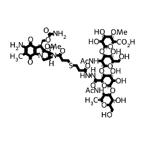 CO[C@@H]1C(C(=O)O)O[C@@H](O[C@@H]2C(NC(C)=O)[C@H](O[C@@H]3C(C(=O)NNC(=O)CCSCCC(=O)N4[C@H]5[C@@H]4CN4C6=C(C(=O)C(N)=C(C)C6=O)[C@@H](COC(N)=O)[C@@]54OC)O[C@@H](O[C@@H]4C(NC(C)=O)[C@H](C)OC(CO)[C@H]4O)C(O)[C@H]3O)OC(CO)[C@H]2O)C(O)[C@H]1O